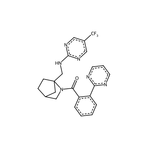 O=C(c1ccccc1-c1ncccn1)N1CC2CCC1(CNc1ncc(C(F)(F)F)cn1)C2